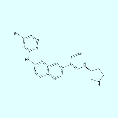 CC(C)c1cnnc(Nc2ccc3ncc(/C(C=N)=C/N[C@H]4CCNC4)cc3n2)c1